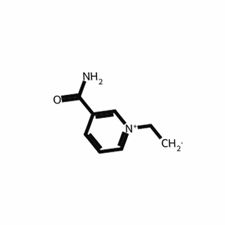 [CH2]C[n+]1cccc(C(N)=O)c1